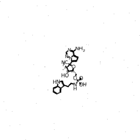 C[C@@]1(F)[C@H](O)[C@@H](COP(=O)(O)NCCc2c[nH]c3ccccc23)O[C@@]1(C#N)c1ccc2c(N)ncnn12